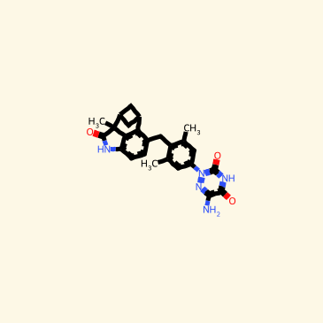 Cc1cc(-n2nc(N)c(=O)[nH]c2=O)cc(C)c1Cc1ccc2c3c1C1CC(C1)C3(C)C(=O)N2